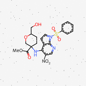 COC(=O)C1(Nc2c([N+](=O)[O-])cnc3c2ccn3S(=O)(=O)c2ccccc2)CCC(CO)OC1